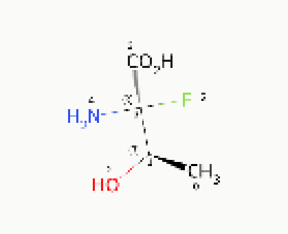 C[C@@H](O)[C@@](N)(F)C(=O)O